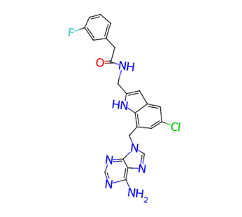 Nc1ncnc2c1ncn2Cc1cc(Cl)cc2cc(CNC(=O)Cc3cccc(F)c3)[nH]c12